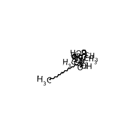 CCCCCCCCCCCCCCCCCCC(Cc1cc(-c2ccccc2C(C)(C)C)c(O)c(-c2ccccc2C(C)(C)C)c1)C(=O)O